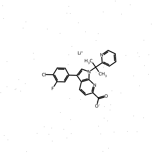 CC(C)(c1ccccn1)n1cc(-c2ccc(Cl)c(F)c2)c2ccc(C(=O)[O-])nc21.[Li+]